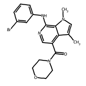 Cc1cn(C)c2c(Nc3cccc(Br)c3)ncc(C(=O)N3CCOCC3)c12